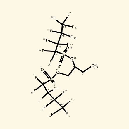 CCC(COS(=O)(=O)C(F)(F)C(F)(F)C(F)(F)C(F)(F)F)OS(=O)(=O)C(F)(F)C(F)(F)C(F)(F)C(F)(F)F